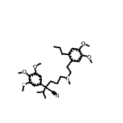 CCCc1cc(OC)c(OC)cc1CCN(C)CCCC(C#N)(c1cc(OC)c(OC)c(OC)c1)C(C)C